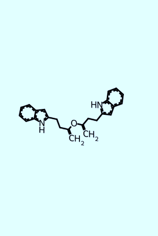 C=C(CCc1cc2ccccc2[nH]1)OC(=C)CCc1cc2ccccc2[nH]1